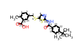 Cc1ccc(CSc2cnc(NC(=O)c3ccc(C(C)(C)C)cc3)s2)cc1C(=O)O